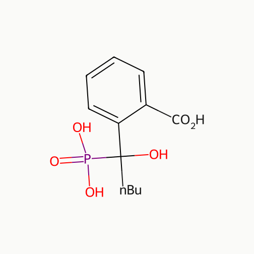 CCCCC(O)(c1ccccc1C(=O)O)P(=O)(O)O